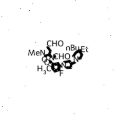 CCCCC1(CC)CCN(CC2CCN(c3cc(C(=O)N(C=O)C(CCC=O)C(=O)NC)c(C)cc3F)CC2)CC1